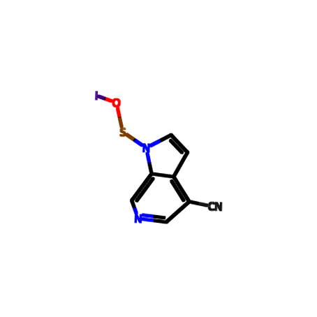 N#Cc1cncc2c1ccn2SOI